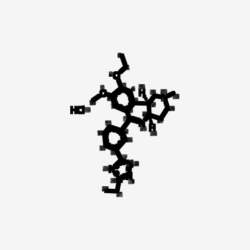 CCOc1cc2c(cc1OC)C(c1cccc(-c3nnn(CC)n3)c1)=N[C@@H]1CCN(C)C[C@H]21.Cl